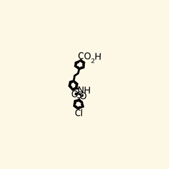 O=C(O)c1ccc(CCc2cccc(NS(=O)(=O)c3ccc(Cl)cc3)c2)cc1